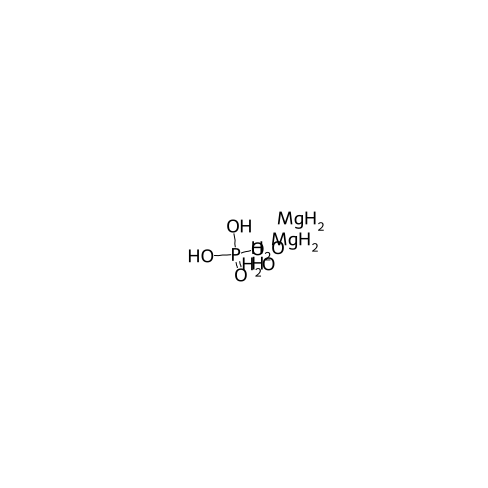 O.O.O=P(O)(O)O.[MgH2].[MgH2]